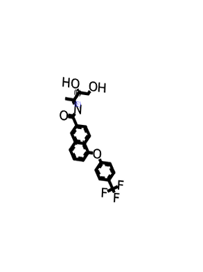 C/C(=N\C(=O)c1ccc2c(Oc3ccc(C(F)(F)F)cc3)cccc2c1)[C@@H](O)CO